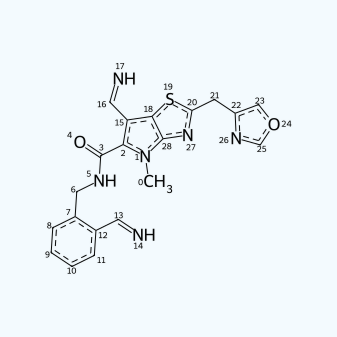 Cn1c(C(=O)NCc2ccccc2C=N)c(C=N)c2sc(Cc3cocn3)nc21